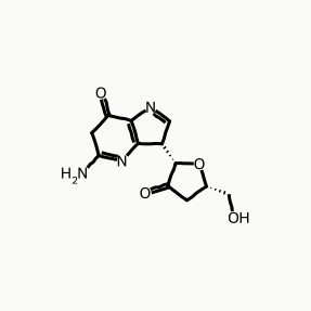 NC1=NC2=C(N=CC2[C@@H]2O[C@H](CO)CC2=O)C(=O)C1